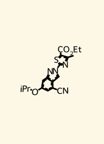 CCOC(=O)c1sc(-n2cc3c(C#N)cc(OC(C)C)cc3n2)nc1C